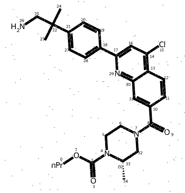 CCCOC(=O)N1CCN(C(=O)c2ccc3c(Cl)cc(-c4ccc(C(C)(C)CN)cc4)nc3c2)C[C@@H]1C